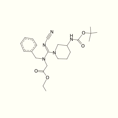 CCOC(=O)CN(Cc1ccccc1)/C(=N/C#N)N1CCCC(NC(=O)OC(C)(C)C)C1